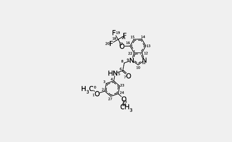 COc1cc(NC(=O)Cn2cnc3cccc(OC(F)(F)F)c32)cc(OC)c1